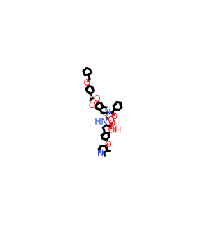 Cc1nccc(Oc2ccc(CC(NC(=O)[C@@H]3Cc4cc5c(cc4CN3C(=O)c3ccccc3)O[C@@H](c3ccc(OCC4CCCCC4)cc3)CO5)C(=O)O)cc2)c1C